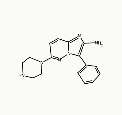 Nc1nc2ccc(N3CCNCC3)nn2c1-c1ccccc1